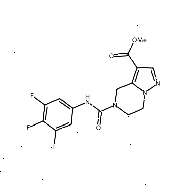 COC(=O)c1cnn2c1CN(C(=O)Nc1cc(F)c(F)c(I)c1)CC2